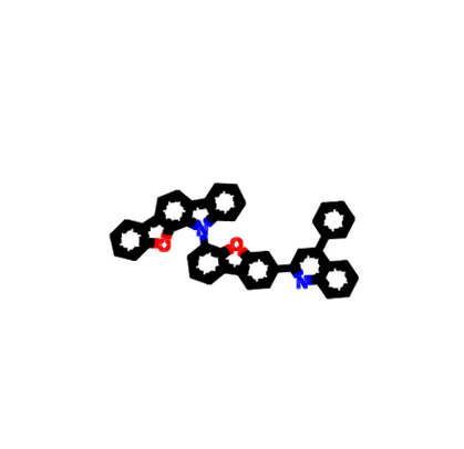 c1ccc(-c2cc(-c3ccc4c(c3)oc3c(-n5c6ccccc6c6ccc7c8ccccc8oc7c65)cccc34)nc3ccccc23)cc1